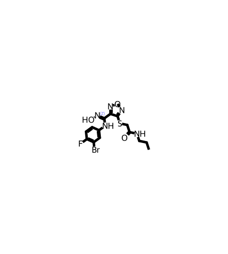 CCCNC(=O)CSc1nonc1/C(=N/O)Nc1ccc(F)c(Br)c1